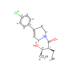 CC(C)C[C@H](C(=O)N1CC=C(c2ccc(Cl)cc2)CC1)[C@H](O)C(=O)O